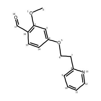 COc1cc(OCCc2ccccn2)ccc1C=O